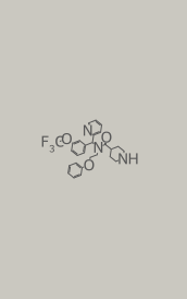 O=C(C1CCNCC1)N(CCOc1ccccc1)C(c1cccc(OC(F)(F)F)c1)c1ccccn1